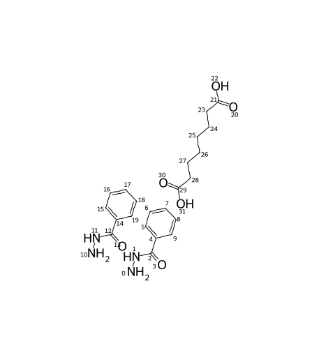 NNC(=O)c1ccccc1.NNC(=O)c1ccccc1.O=C(O)CCCCCCC(=O)O